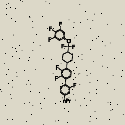 CCCc1ccc(-c2ccc(C3CCC(C(F)(F)Oc4cc(F)c(F)c(F)c4)CC3)c(F)c2F)c(F)c1